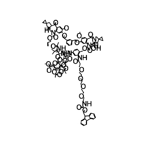 C=CCOC(=O)N1C[C@@H]2CC3(CC3)CC2C(=O)c2cc(OC)c(OCc3cccc(COc4cc5c(cc4OC)C(=O)N4CC6(CC6)C[C@H]4[C@H](O)N5C(=O)OCc4ccc(NC(=O)[C@H](CO[C@@H]5O[C@H](C(=O)OC)[C@@H](OC(C)=O)[C@H](OC(C)=O)[C@H]5OC(C)=O)NC(=O)[C@@H](NC(C)=O)C(C)C)cc4NC(=O)CCOCCOCCOCCOCCNC(=O)OCC4c5ccccc5-c5ccccc54)c3)cc21